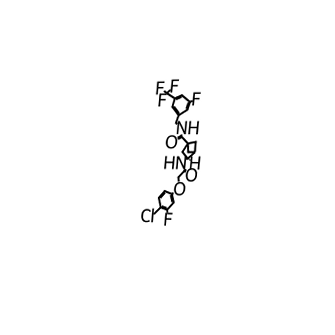 O=C(COc1ccc(Cl)c(F)c1)N[C@H]1CC2(C(=O)NCc3cc(F)cc(C(F)(F)F)c3)CC1C2